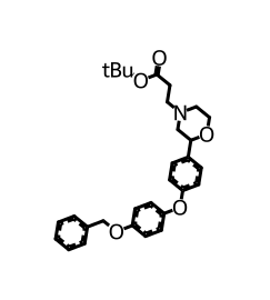 CC(C)(C)OC(=O)CCN1CCOC(c2ccc(Oc3ccc(OCc4ccccc4)cc3)cc2)C1